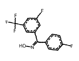 ON=C(c1ccc(F)cc1)c1cc(F)cc(C(F)(F)F)c1